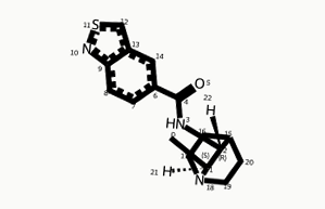 C[C@H]1[C@H](NC(=O)c2ccc3nscc3c2)C2CCN1CC2